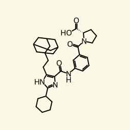 O=C(Nc1cccc(C(=O)N2CCC[C@H]2C(=O)O)c1)c1nc(C2CCCCC2)[nH]c1CCC12CC3CC(CC(C3)C1)C2